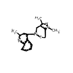 [CH2]n1nc(C)c2c1CCN(c1cc(C)nc3ccccc13)C2